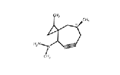 CC1CC12C[C@@H](C)CC#CC2N(C)N